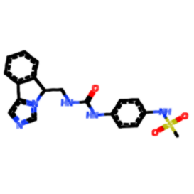 CS(=O)(=O)Nc1ccc(NC(=O)NCC2c3ccccc3-c3cncn32)cc1